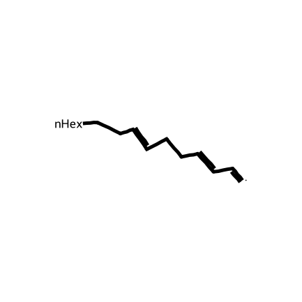 [CH]=CC=CCCC=CCCCCCCCC